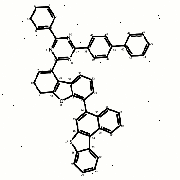 C1=CC(c2nc(C3=CCCc4oc5c(-c6cc7sc8ccccc8c7c7ccccc67)cccc5c43)nc(-c3ccc(-c4ccccc4)cc3)n2)=CCC1